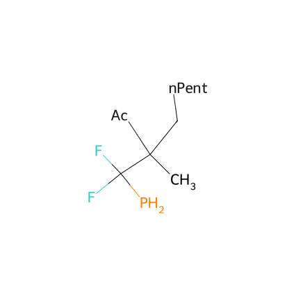 CCCCCCC(C)(C(C)=O)C(F)(F)P